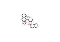 Cc1ccc2c(oc3ncc4ccccc4c32)c1-c1c2ccccc2cc[n+]1C